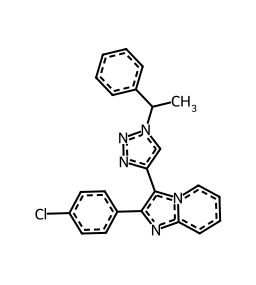 CC(c1ccccc1)n1cc(-c2c(-c3ccc(Cl)cc3)nc3ccccn23)nn1